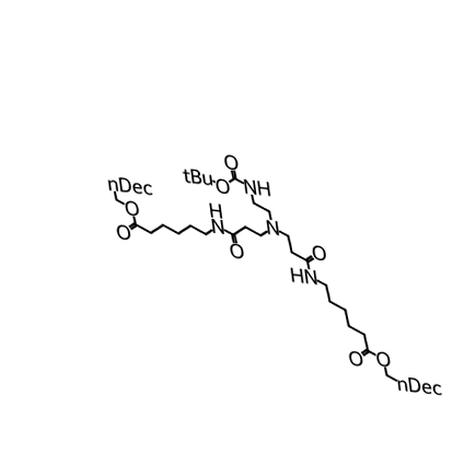 CCCCCCCCCCCOC(=O)CCCCCNC(=O)CCN(CCNC(=O)OC(C)(C)C)CCC(=O)NCCCCCC(=O)OCCCCCCCCCCC